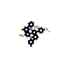 Cc1ccc2c(c1)c1ccccc1n2-c1cc(C#N)ccc1-c1ccc(-c2ccc(C(F)(F)F)cc2C#N)cc1-n1c2ccccc2c2cc(C)ccc21